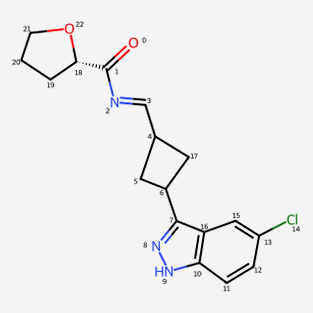 O=C(/N=C/C1CC(c2n[nH]c3ccc(Cl)cc23)C1)[C@@H]1CCCO1